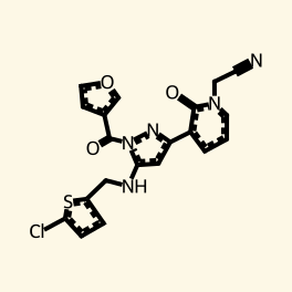 N#CCn1cccc(-c2cc(NCc3ccc(Cl)s3)n(C(=O)c3ccoc3)n2)c1=O